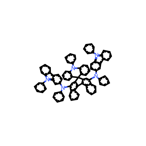 c1ccc(N2c3ccccc3C3(c4ccccc42)c2cc(N(c4ccccc4)c4ccc5c(c4)c4ccccc4n5-c4ccccc4)c4ccccc4c2-c2c3cc(N(c3ccccc3)c3ccc4c5ccccc5n(-c5ccccc5)c4c3)c3ccccc23)cc1